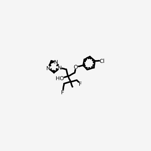 CC(CF)(CF)C(O)(COc1ccc(Cl)cc1)Cn1cncn1